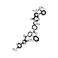 Cc1ccc(-c2nc(C)c(C(=O)N3CC[C@@H](C(=O)N4CCC(O)(Cn5cnc6c(ccn6-c6ccccc6N(C)C)c5=O)CC4)[C@H](c4ccccc4)C3)s2)cn1